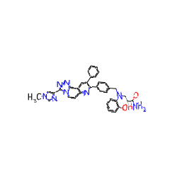 Cn1cnc(-c2nnc3c4cc(-c5ccccc5)c(-c5ccc(CN(CCC(N)=O)c6ccccc6O)cc5)nc4ccn23)c1